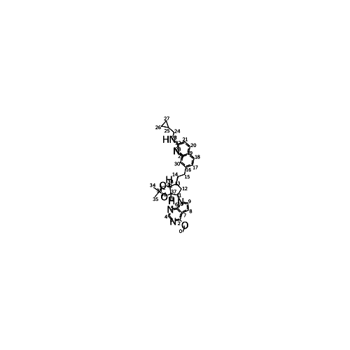 COc1ncnc2c1ccn2[C@@H]1C[C@H](CCc2ccc3ccc(NCC4CC4)nc3c2)[C@H]2OC(C)(C)O[C@H]21